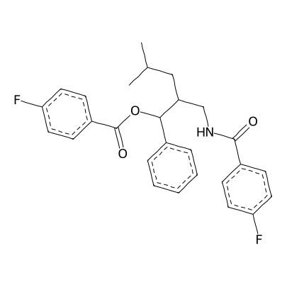 CC(C)CC(CNC(=O)c1ccc(F)cc1)C(OC(=O)c1ccc(F)cc1)c1ccccc1